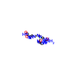 CN1CCN([C@@H]2CCCN(c3nnc(C(N)=O)c(Nc4ccc(N5CCN(CC6CCN(c7ccc8c(C9CCC(=O)NC9=O)nn(C)c8n7)C6)CC5)c(F)c4)n3)C2)C1=O